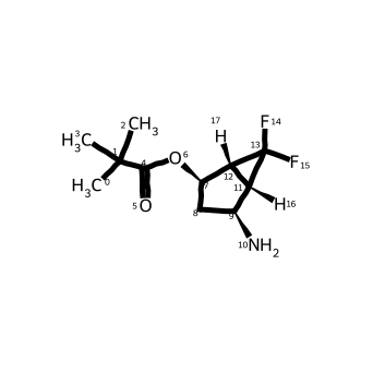 CC(C)(C)C(=O)O[C@@H]1C[C@H](N)[C@@H]2[C@H]1C2(F)F